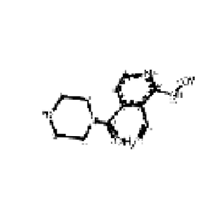 C=Cc1c(C(=O)N2CCOCC2)ccnc1NC#N